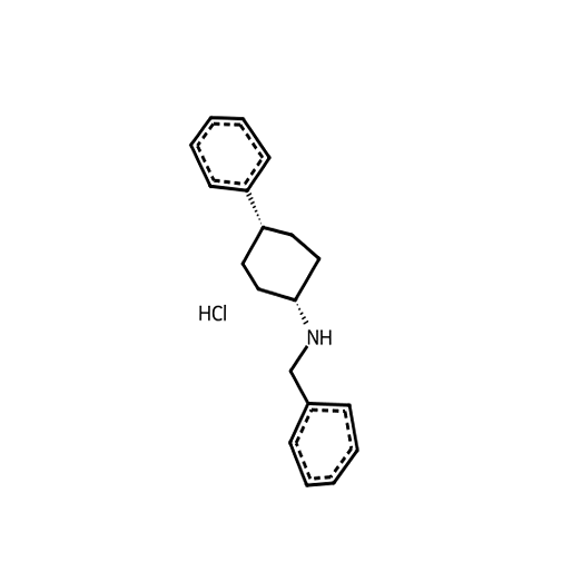 Cl.c1ccc(CN[C@H]2CC[C@@H](c3ccccc3)CC2)cc1